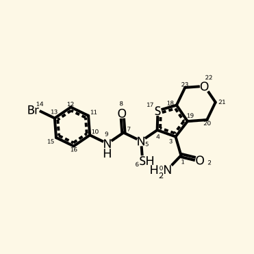 NC(=O)c1c(N(S)C(=O)Nc2ccc(Br)cc2)sc2c1CCOC2